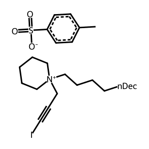 CCCCCCCCCCCCCC[N+]1(CC#CI)CCCCC1.Cc1ccc(S(=O)(=O)[O-])cc1